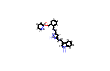 C(=C\c1ccccc1COc1ccccn1)/c1cc(/C=C/c2c[nH]c3ccccc23)[nH]n1